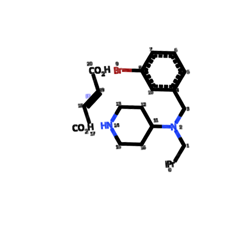 CC(C)CN(Cc1cccc(Br)c1)C1CCNCC1.O=C(O)/C=C/C(=O)O